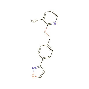 Cc1cccnc1OCc1ccc(-c2ccon2)cc1